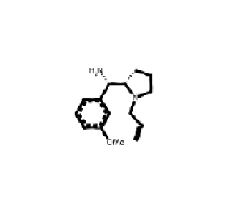 C=CCN1CCC[C@H]1[C@@H](N)c1cccc(OC)c1